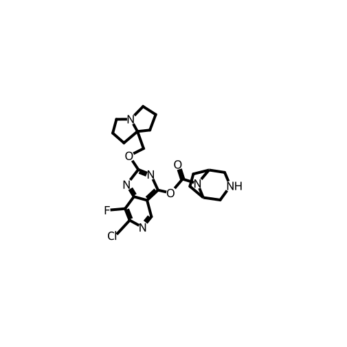 O=C(Oc1nc(OCC23CCCN2CCC3)nc2c(F)c(Cl)ncc12)N1C2CCC1CNC2